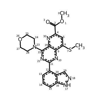 COC(=O)c1cc(SC)c2nc(-c3cccc4[nH]ncc34)nc(N3CCOCC3)c2n1